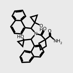 NC(=O)C1(C(=O)N(C(c2cccc3ccccc23)C2(O)CC2)C(c2cccc3ccccc23)C2(O)CC2)CCC1